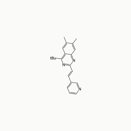 Cc1cc2nc(/C=C/c3cccnc3)nc(C(C)(C)C)c2cc1C